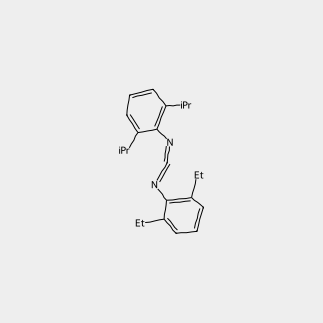 CCc1cccc(CC)c1N=C=Nc1c(C(C)C)cccc1C(C)C